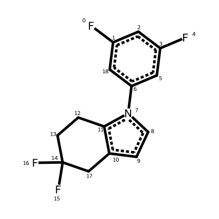 Fc1cc(F)cc(-n2ccc3c2CCC(F)(F)C3)c1